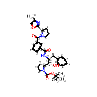 Cc1coc([C@H]2CCCN2C(=O)c2cccc(C(=O)N[C@@H](Cc3ccccc3)[C@H](O)[C@H]3CCCN3C(=O)OC(C)(C)C)c2)n1